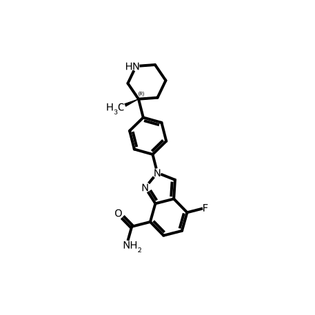 C[C@]1(c2ccc(-n3cc4c(F)ccc(C(N)=O)c4n3)cc2)CCCNC1